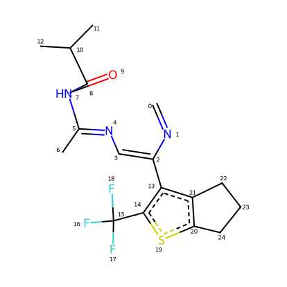 C=N/C(=C\N=C(/C)NC(=O)C(C)C)c1c(C(F)(F)F)sc2c1CCC2